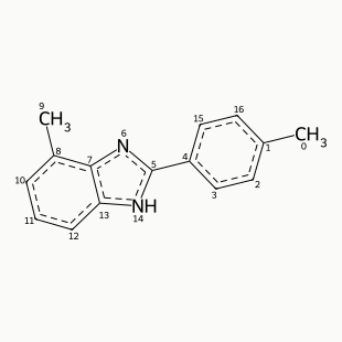 Cc1ccc(-c2nc3c(C)cccc3[nH]2)cc1